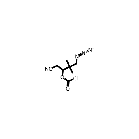 CC(C)(CN=[N+]=[N-])C(CC#N)OC(=O)Cl